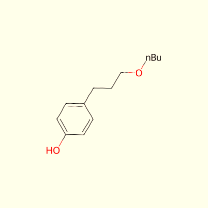 CCCCOCCCc1ccc(O)cc1